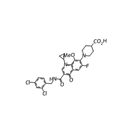 COc1c(N2CCC(C(=O)O)CC2)c(F)cc2c(=O)c(C(=O)NCc3ccc(Cl)cc3Cl)cn(C3CC3)c12